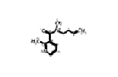 C=CCCN(C#N)C(=O)c1cccnc1C